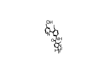 Cc1nc(C(F)(F)F)ccc1C(=O)Nc1ccc(I)c(-c2cc(CO)ccn2)c1